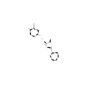 Cc1cc(N/N=C2/N=C(c3ccccc3)OC2=O)ccc1F